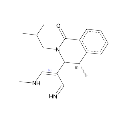 CN/C=C(\C=N)C1[C@@H](C)c2ccccc2C(=O)N1CC(C)C